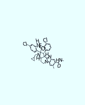 CNC(=O)c1cc2nc3n(c2cc1C)CC[C@H]1[C@@H]3[C@H](c2cccc(Cl)c2F)[C@]2(C(=O)Nc3cc(Cl)ccc32)N1CC1CC1